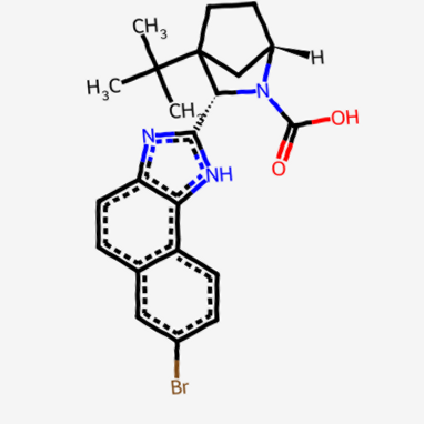 CC(C)(C)C12CC[C@@H](C1)N(C(=O)O)[C@@H]2c1nc2ccc3cc(Br)ccc3c2[nH]1